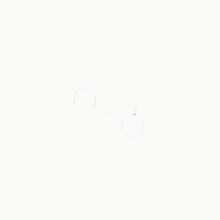 O=C1CNCCN1CCC1CNCCO1